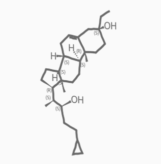 CC[C@]1(O)CC[C@@]2(C)C(=CC[C@H]3[C@@H]4CC[C@H]([C@H](C)[C@@H](O)CCC5CC5)[C@@]4(C)CC[C@@H]32)C1